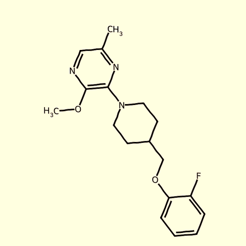 COc1ncc(C)nc1N1CCC(COc2ccccc2F)CC1